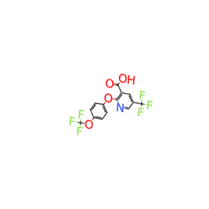 O=C(O)c1cc(C(F)(F)F)cnc1Oc1ccc(OC(F)(F)F)cc1